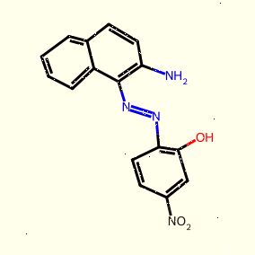 Nc1ccc2ccccc2c1/N=N/c1ccc([N+](=O)[O-])cc1O